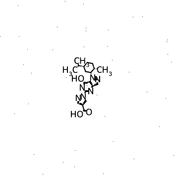 CC(C)[C@H]1CC[C@H](C)[C@H](n2ncc3nc(-n4cc(C(=O)O)cn4)nc(O)c32)C1